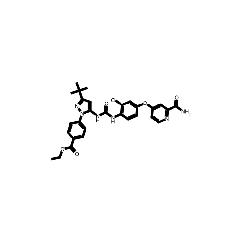 CCOC(=O)c1ccc(-n2nc(C(C)(C)C)cc2NC(=O)Nc2ccc(Oc3ccnc(C(N)=O)c3)cc2Cl)cc1